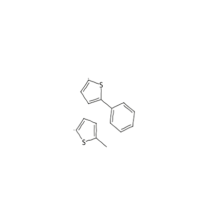 Cc1cc[c]s1.[c]1ccc(-c2ccccc2)s1